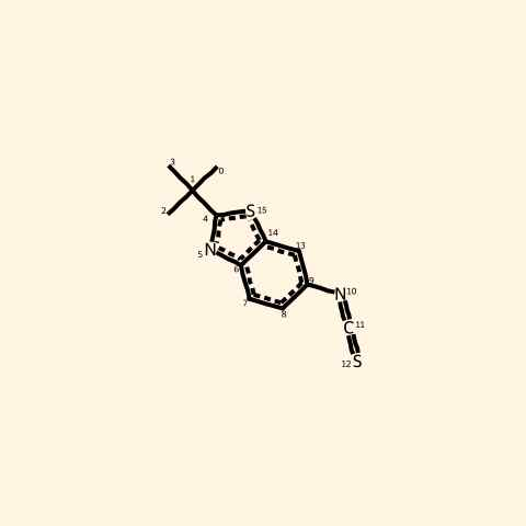 CC(C)(C)c1nc2ccc(N=C=S)cc2s1